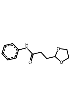 O=C(CCC1OCCO1)Nc1ccccc1